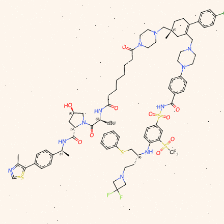 Cc1ncsc1-c1ccc([C@H](C)NC(=O)[C@@H]2C[C@@H](O)CN2C(=O)[C@@H](NC(=O)CCCCCCC(=O)N2CCN(C[C@]3(C)CCC(c4ccc(Cl)cc4)=C(CN4CCN(c5ccc(C(=O)NS(=O)(=O)c6ccc(N[C@H](CCN7CC(F)(F)C7)CSc7ccccc7)c(S(=O)(=O)C(F)(F)F)c6)cc5)CC4)C3)CC2)C(C)(C)C)cc1